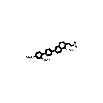 COc1ccc(-c2ccc(-c3ccc4c(c3)CCC(CCN(C)C)C4OC)cc2)c(OC)c1